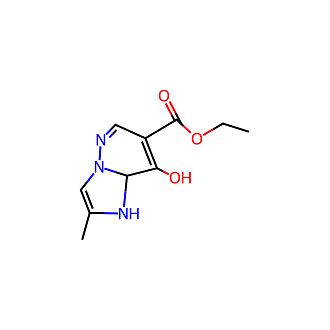 CCOC(=O)C1=C(O)C2NC(C)=CN2N=C1